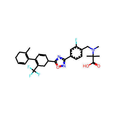 CC1=C(C2=C(C(F)(F)F)CC(c3nc(-c4ccc(CN(C)C(C)(C)C(=O)O)c(F)c4)no3)C=C2)C=CCC1